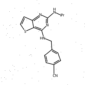 CC(C)Nc1nc(NCc2ccc(C#N)cc2)c2sccc2n1